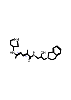 C/C(=C\C=C(/C)C(=O)NCC(O)CN1CCc2ccccc2C1)NC1CCNCC1